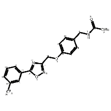 CC(C)COC(=O)NCc1ccc(OCc2noc(-c3cccc(C(F)(F)F)c3)n2)cc1